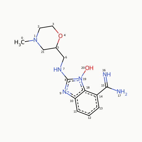 CN1CCOC(CNc2nc3cccc(C(=N)N)c3n2O)C1